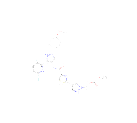 CCO[C@H]1CC[C@H](n2cc(NC(=O)c3csc(-c4cnn(COC(=O)OC(C)C)c4)n3)c(-c3nc(F)ccc3F)n2)CC1